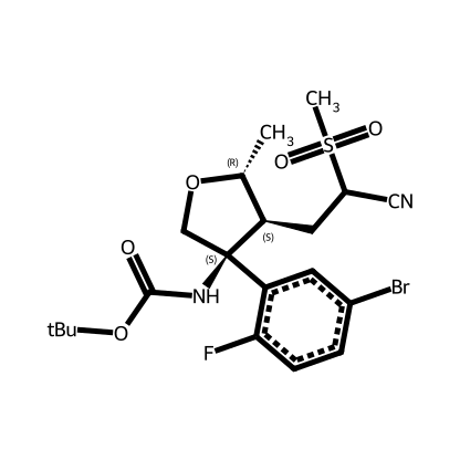 C[C@H]1OC[C@@](NC(=O)OC(C)(C)C)(c2cc(Br)ccc2F)[C@@H]1CC(C#N)S(C)(=O)=O